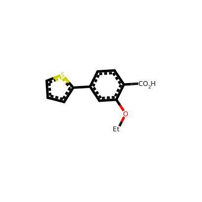 CCOc1cc(-c2cccs2)ccc1C(=O)O